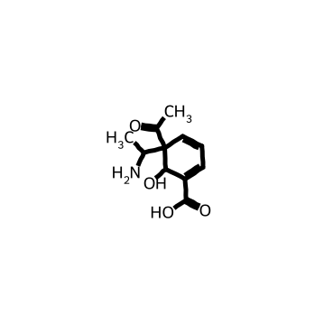 CC(=O)C1(C(C)N)C=CC=C(C(=O)O)C1O